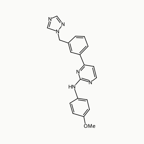 COc1ccc(Nc2nccc(-c3cccc(Cn4cncn4)c3)n2)cc1